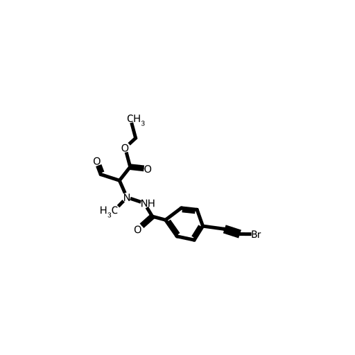 CCOC(=O)C(C=O)N(C)NC(=O)c1ccc(C#CBr)cc1